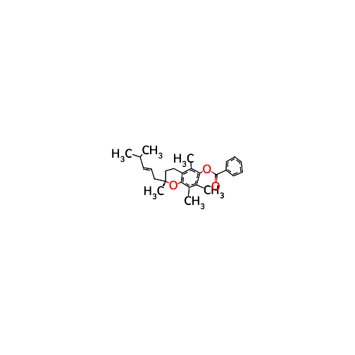 Cc1c(C)c2c(c(C)c1OC(=O)c1ccccc1)CC[C@@](C)(C/C=C/C(C)C)O2